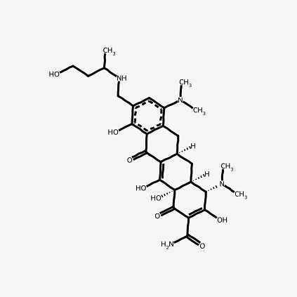 CC(CCO)NCc1cc(N(C)C)c2c(c1O)C(=O)C1=C(O)[C@]3(O)C(=O)C(C(N)=O)=C(O)[C@@H](N(C)C)[C@@H]3C[C@@H]1C2